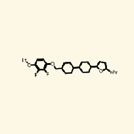 CCCC1CCC(C2CCC(C3CCC(COc4ccc(OCC)c(F)c4F)CC3)CC2)O1